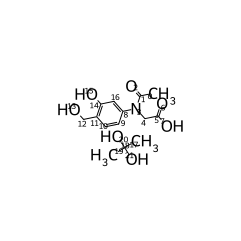 CC(=O)N(CC(=O)O)c1ccc(CO)c(O)c1.CC(C)(O)O